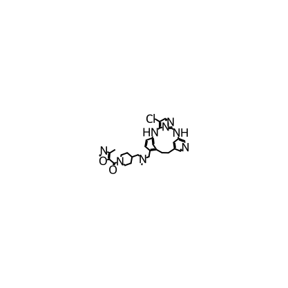 Cc1ncoc1C(=O)N1CCC(CN(C)Cc2ccc3cc2CCc2cncc(c2)Nc2ncc(Cl)c(n2)N3)CC1